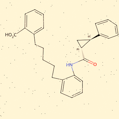 O=C(O)c1ccccc1CCCCCc1ccccc1NC(=O)[C@@H]1C[C@H]1c1ccccc1